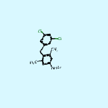 CC(=O)Nc1cc(C)c(Cc2cc(Cl)cc(Cl)c2)c(C)c1